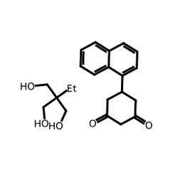 CCC(CO)(CO)CO.O=C1CC(=O)CC(c2cccc3ccccc23)C1